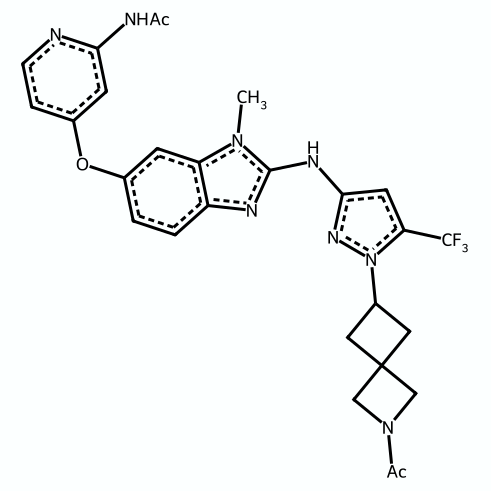 CC(=O)Nc1cc(Oc2ccc3nc(Nc4cc(C(F)(F)F)n(C5CC6(C5)CN(C(C)=O)C6)n4)n(C)c3c2)ccn1